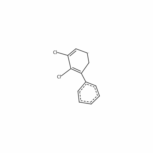 ClC1=C[CH]CC(c2ccccc2)=C1Cl